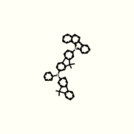 CC1(C)c2ccccc2-c2ccc(N(c3ccccc3)c3ccc4c(c3)C(C)(C)c3cc(-n5c6ccccc6c6ccc7ccccc7c65)ccc3-4)cc21